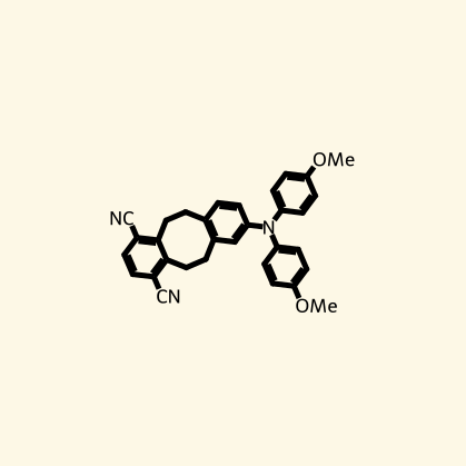 COc1ccc(N(c2ccc(OC)cc2)c2ccc3c(c2)CCc2c(C#N)ccc(C#N)c2CC3)cc1